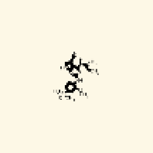 CC[C@@H](C)Nc1nc(Nc2ccc(P(C)(C)=O)cc2OC)nc2[nH]cc(C#N)c12